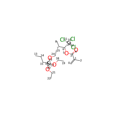 C=C(C)C(=O)OC(CC)[Si](Cl)(Cl)Cl.CCC[Si](OCC)(OCC)OCC